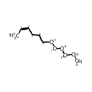 C/C=C\CCCOOOOOO